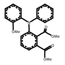 COC(=O)c1cccc(N(c2ccccc2)c2ccccc2OC)c1C(=O)OC